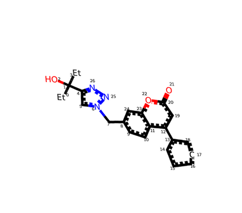 CCC(O)(CC)c1cn(Cc2ccc3c(-c4ccccc4)cc(=O)oc3c2)nn1